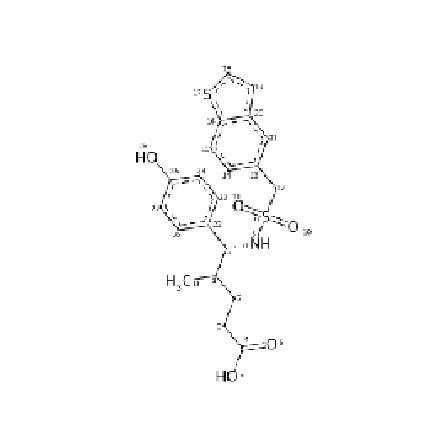 C[C](CCC(=O)O)[C@@H](NS(=O)(=O)Cc1ccc2sccc2c1)c1ccc(O)cc1